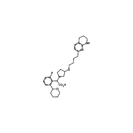 O=C(O)C(c1c(F)cccc1C1CCCCO1)N1CCC(OCCCCc2ccc3c(n2)NCCC3)C1